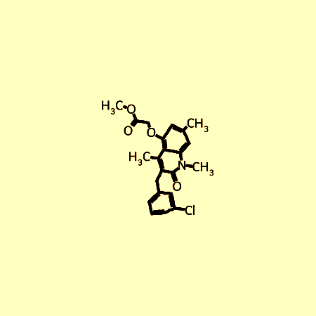 COC(=O)COc1cc(C)cc2c1c(C)c(Cc1cccc(Cl)c1)c(=O)n2C